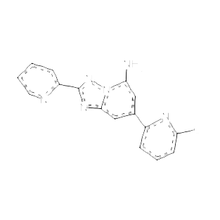 Nc1cc(-c2cccc(Cl)n2)cc2nc(-c3ccccn3)nn12